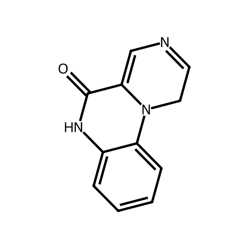 O=C1Nc2ccccc2N2CC=NC=C12